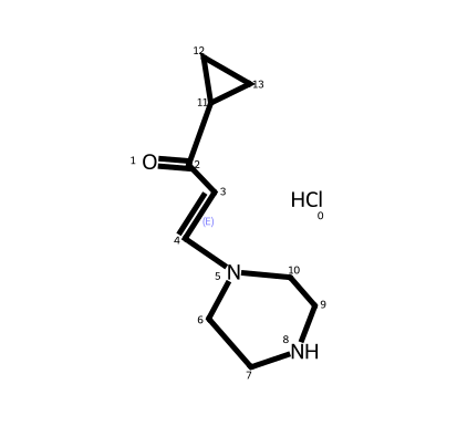 Cl.O=C(/C=C/N1CCNCC1)C1CC1